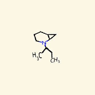 CCC(C)N1CCCC2CC21